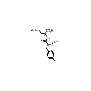 CSCC[C@H](NC(=O)[C@H](Cc1ccc(F)cc1)NC=O)C(=O)O